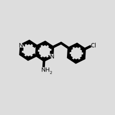 Nc1nc(Cc2cccc(Cl)c2)cc2cnccc12